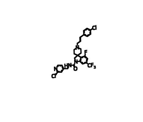 O=C(NCc1ccnc(Cl)c1)N1CC2(CCN(C/C=C/c3ccc(Cl)cc3)CC2)c2c(F)cc(C(F)(F)F)cc21